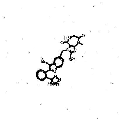 CCCc1nc2c(n1Cc1ccc3oc(-c4ccccc4-c4nnn[nH]4)c(Br)c3c1)C(=O)NCC(=O)N2C